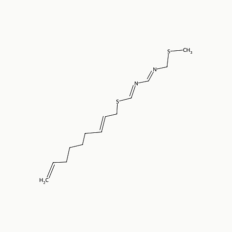 C=CCCCCC=CCSC=NC=NCSC